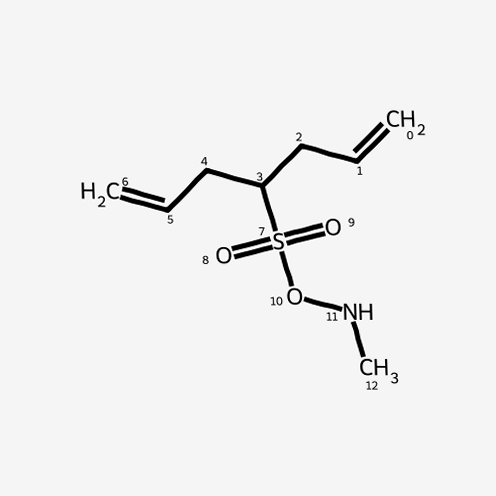 C=CCC(CC=C)S(=O)(=O)ONC